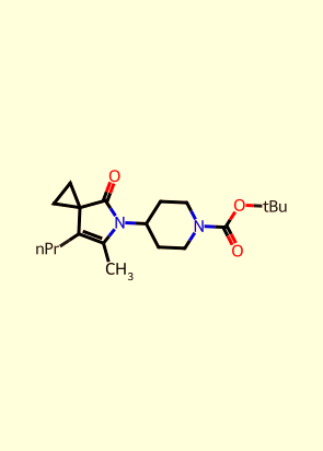 CCCC1=C(C)N(C2CCN(C(=O)OC(C)(C)C)CC2)C(=O)C12CC2